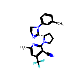 Cc1cccc(-n2ccnc2[C@@H]2CCCN2c2nc(C)cc(C(F)(F)F)c2C#N)c1